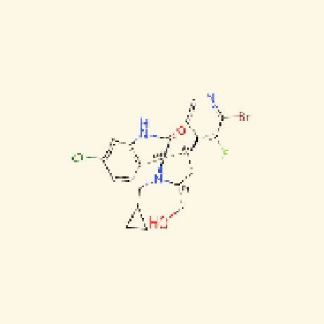 O=C1Nc2cc(Cl)ccc2[C@@]12[C@@H](c1ccnc(Br)c1F)C[C@H](CO)N2CC1CC1